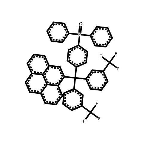 O=P(c1ccccc1)(c1ccccc1)c1ccc(C(c2cccc(C(F)(F)F)c2)(c2cccc(C(F)(F)F)c2)c2cc3cccc4ccc5cccc2c5c43)cc1